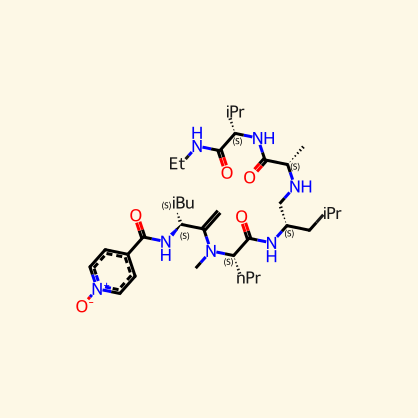 C=C([C@@H](NC(=O)c1cc[n+]([O-])cc1)[C@@H](C)CC)N(C)[C@@H](CCC)C(=O)N[C@H](CN[C@@H](C)C(=O)N[C@H](C(=O)NCC)C(C)C)CC(C)C